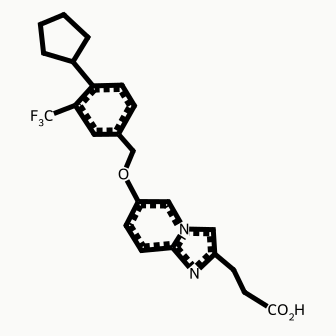 O=C(O)CCc1cn2cc(OCc3ccc(C4CCCC4)c(C(F)(F)F)c3)ccc2n1